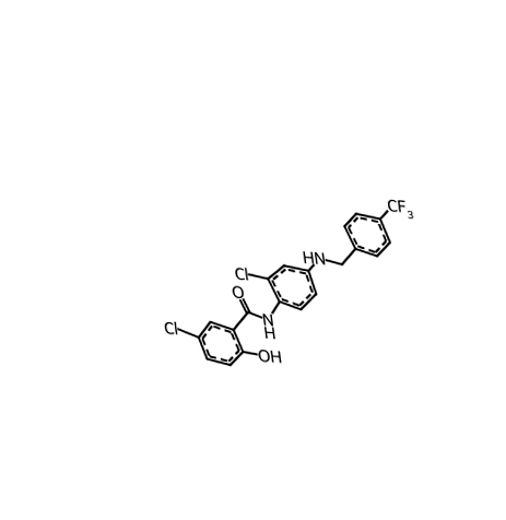 O=C(Nc1ccc(NCc2ccc(C(F)(F)F)cc2)cc1Cl)c1cc(Cl)ccc1O